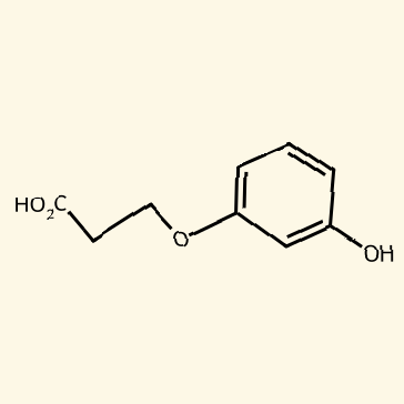 O=C(O)CCOc1cccc(O)c1